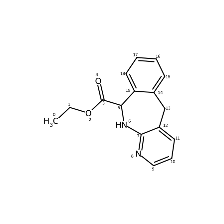 CCOC(=O)C1Nc2ncccc2Cc2ccccc21